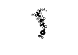 CC1S[C@@H]2C(NC(=O)C(=NO)c3csc(N)n3)C(=O)N2C=C1C(=O)OCc1ccc([N+](=O)[O-])cc1